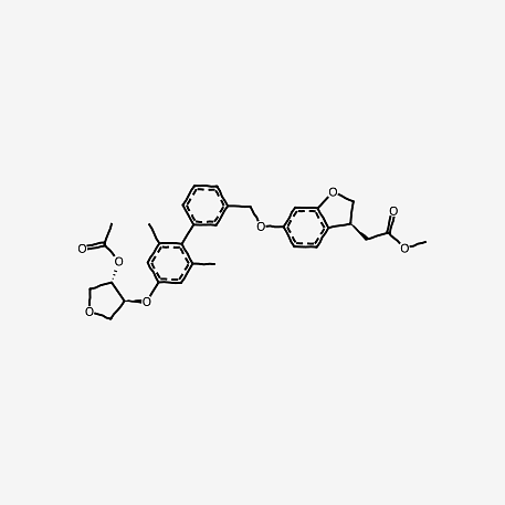 COC(=O)C[C@@H]1COc2cc(OCc3cccc(-c4c(C)cc(O[C@H]5COC[C@@H]5OC(C)=O)cc4C)c3)ccc21